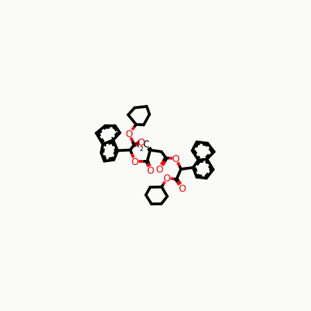 C=C(CC(=O)OC(C(=O)OC1CCCCC1)c1cccc2ccccc12)C(=O)OC(C(=O)OC1CCCCC1)c1cccc2ccccc12